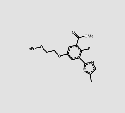 CCCOCCOc1cc(C(=O)OC)c(F)c(-c2ncc(C)s2)c1